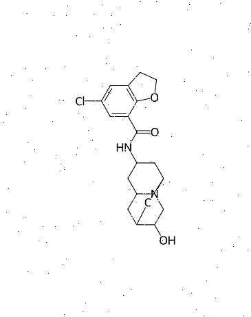 O=C(NC1CC2CC3CC(C1)N2CC3O)c1cc(Cl)cc2c1OCC2